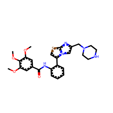 COc1cc(C(=O)Nc2ccccc2-c2csc3nc(CN4CCNCC4)cn23)cc(OC)c1OC